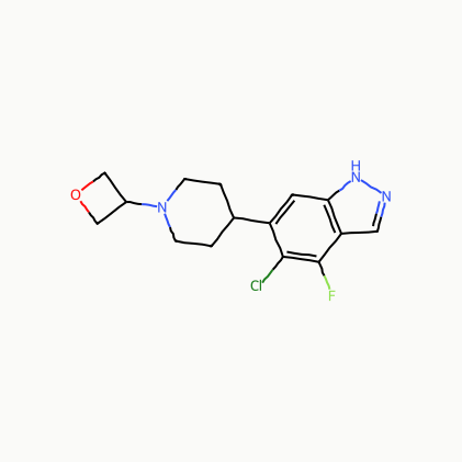 Fc1c(Cl)c(C2CCN(C3COC3)CC2)cc2[nH]ncc12